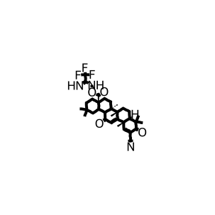 CC1(C)CC[C@]2(C(=O)ONC(=N)C(F)(F)F)CC[C@]3(C)C(C(=O)C=C4[C@@]5(C)C=C(C#N)C(=O)C(C)(C)[C@@H]5CC[C@]43C)C2C1